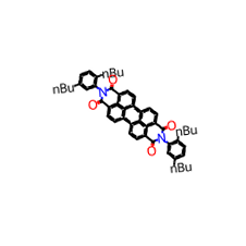 CCCCc1ccc(CCCC)c(N2C(=O)c3ccc4c5ccc6c7c(ccc(c8ccc(c3c48)C2=O)c75)C(=O)N(c2cc(CCCC)ccc2CCCC)C6=O)c1